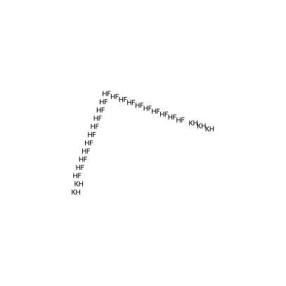 F.F.F.F.F.F.F.F.F.F.F.F.F.F.F.F.F.F.F.F.[KH].[KH].[KH].[KH].[KH]